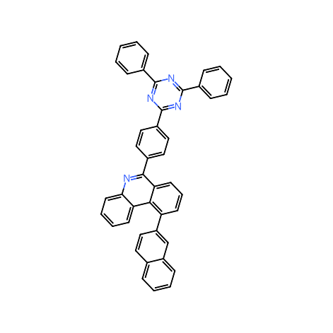 c1ccc(-c2nc(-c3ccccc3)nc(-c3ccc(-c4nc5ccccc5c5c(-c6ccc7ccccc7c6)cccc45)cc3)n2)cc1